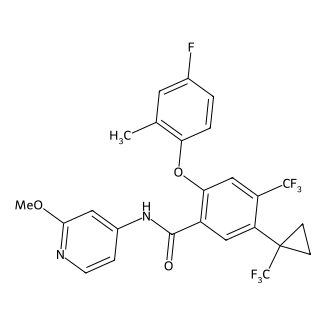 COc1cc(NC(=O)c2cc(C3(C(F)(F)F)CC3)c(C(F)(F)F)cc2Oc2ccc(F)cc2C)ccn1